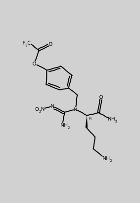 NCCC[C@H](C(N)=O)N(Cc1ccc(OC(=O)C(F)(F)F)cc1)C(N)=N[N+](=O)[O-]